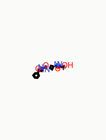 C[C@H](O)c1nnc([C@H]2C[C@@H](NC(=O)c3cc(-c4ccccc4)on3)C2)o1